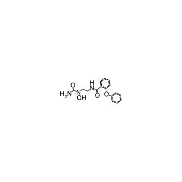 NC(=O)N(O)CCNC(=O)c1ccccc1Oc1ccccc1